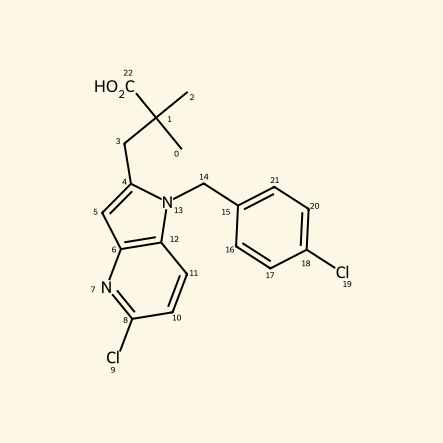 CC(C)(Cc1cc2nc(Cl)ccc2n1Cc1ccc(Cl)cc1)C(=O)O